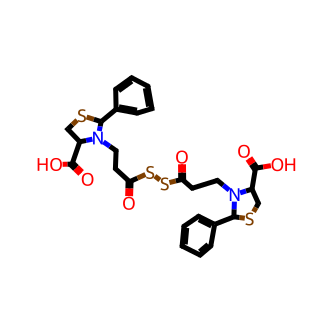 O=C(CCN1C(C(=O)O)CSC1c1ccccc1)SSC(=O)CCN1C(C(=O)O)CSC1c1ccccc1